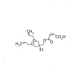 C=CCOCC(CC)(COCC=C)COC(=O)/C=C\C(=O)O